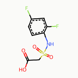 O=C(O)CS(=O)(=O)Nc1ccc(F)cc1F